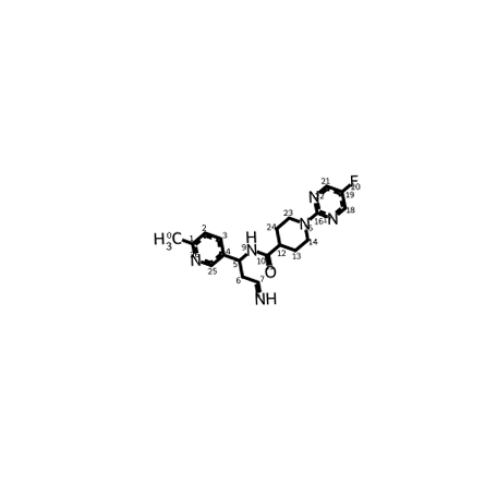 Cc1ccc(C(CC=N)NC(=O)C2CCN(c3ncc(F)cn3)CC2)cn1